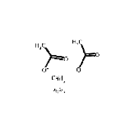 CC(=O)[O-].CC(=O)[O-].[CaH2].[Pb+2]